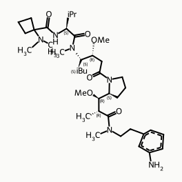 CC[C@H](C)[C@@H]([C@@H](CC(=O)N1CCC[C@H]1[C@H](OC)[C@@H](C)C(=O)N(C)CCc1cccc(N)c1)OC)N(C)C(=O)[C@@H](NC(=O)C1(N(C)C)CCC1)C(C)C